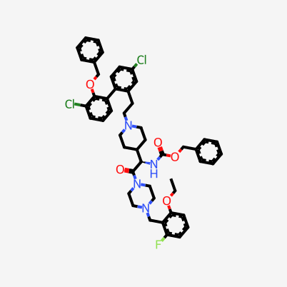 CCOc1cccc(F)c1CN1CCN(C(=O)[C@H](NC(=O)OCc2ccccc2)C2CCN(CCc3cc(Cl)ccc3-c3cccc(Cl)c3OCc3ccccc3)CC2)CC1